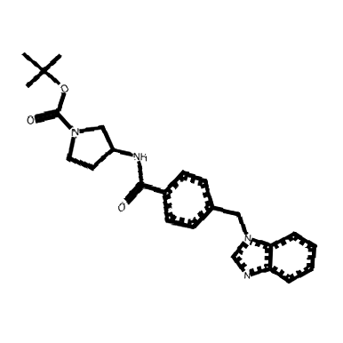 CC(C)(C)OC(=O)N1CCC(NC(=O)c2ccc(Cn3cnc4ccccc43)cc2)C1